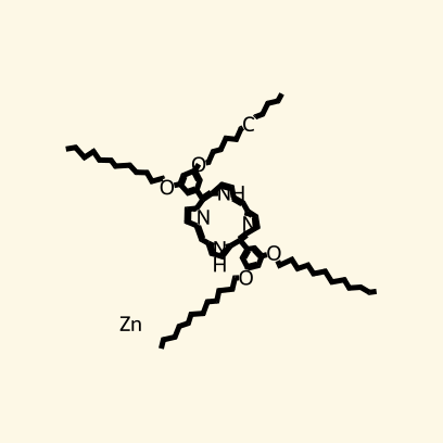 CCCCCCCCCCCCOc1cc(OCCCCCCCCCCCC)cc(-c2c3nc(cc4ccc([nH]4)c(-c4cc(OCCCCCCCCCCCC)cc(OCCCCCCCCCCCC)c4)c4nc(cc5ccc2[nH]5)C=C4)C=C3)c1.[Zn]